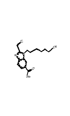 COC(=O)c1ccc2nc(CCl)n(CCCCCCC#N)c2c1